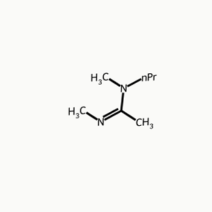 CCCN(C)/C(C)=N\C